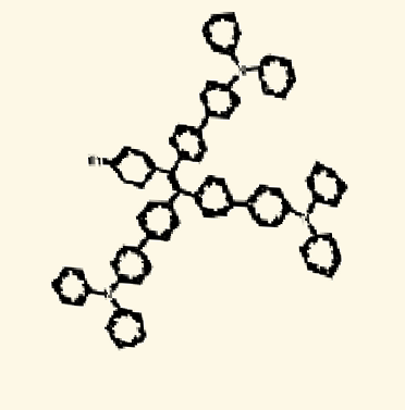 CC(C)C1=CC=C(C(=C(c2ccc(-c3ccc(N(c4ccccc4)c4ccccc4)cc3)cc2)c2ccc(-c3ccc(N(c4ccccc4)c4ccccc4)cc3)cc2)c2ccc(-c3ccc(N(c4ccccc4)c4ccccc4)cc3)cc2)CC1